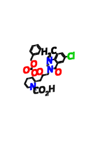 Cc1cc(Cl)cc2c(=O)n(CC(=O)C[C@@H]3[C@@H](OC(=O)OCc4ccccc4)CCCN3C(=O)O)cnc12